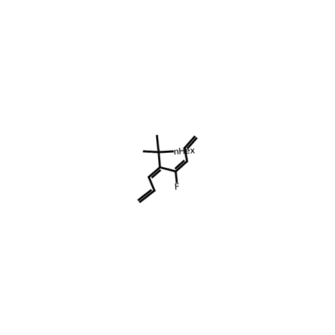 C=C/C=C(\C(F)=C/C=C)C(C)(C)CCCCCC